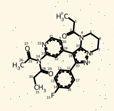 CCC(=O)N1CCCn2nc(-c3ccc(F)cc3)c(-c3ccnc(N(C(C)=O)C(=O)CC)c3)c21